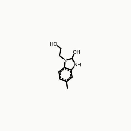 Cc1ccc2c(c1)NC(O)N2CCO